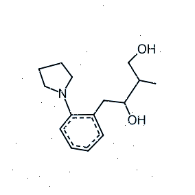 CC(CO)C(O)Cc1ccccc1N1CCCC1